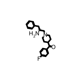 N[C@H](Cc1ccccc1)CN1CCC(C(=O)c2ccc(F)cc2)CC1